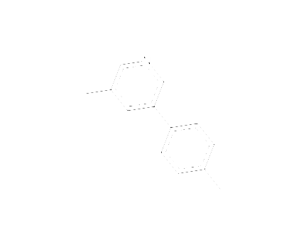 Cc1ccc(-c2cncc(C)c2)cc1